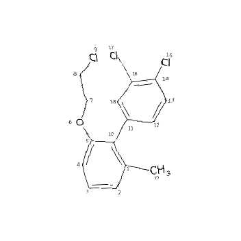 Cc1cccc(OCCCl)c1-c1ccc(Cl)c(Cl)c1